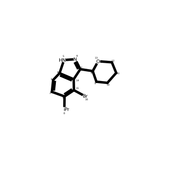 CC(C)c1ccc2[nH]nc(C3CCCCO3)c2c1Br